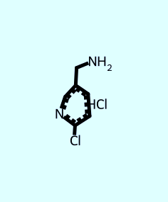 Cl.NCc1ccc(Cl)nc1